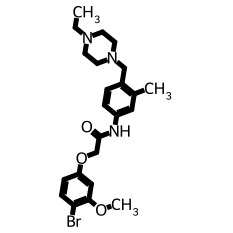 CCN1CCN(Cc2ccc(NC(=O)COc3ccc(Br)c(OC)c3)cc2C)CC1